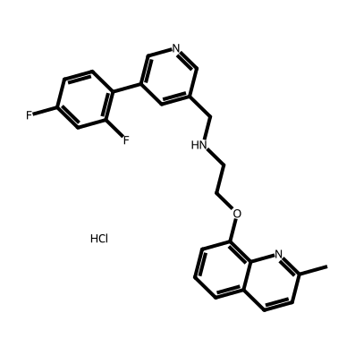 Cc1ccc2cccc(OCCNCc3cncc(-c4ccc(F)cc4F)c3)c2n1.Cl